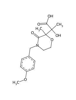 COc1ccc(CN2CCOC(C)(C(C)(O)C(=O)O)C2=O)cc1